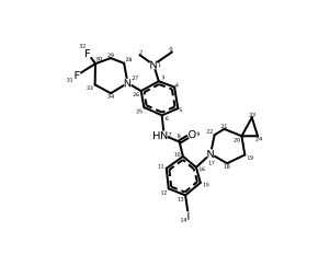 CN(C)c1ccc(NC(=O)c2ccc(I)cc2N2CCC3(CC2)CC3)cc1N1CCC(F)(F)CC1